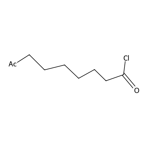 CC(=O)CCCCCCC(=O)Cl